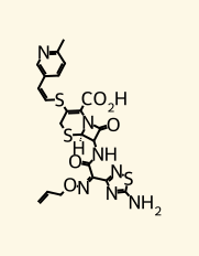 C=CCO/N=C(\C(=O)NC1C(=O)N2C(C(=O)O)=C(S/C=C\c3ccc(C)nc3)CS[C@H]12)c1nsc(N)n1